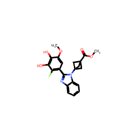 COC(=O)C12CC(n3c(-c4cc(OC)c(O)c(O)c4F)nc4ccccc43)(C1)C2